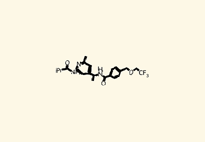 Cc1cc(C(C)NC(=O)c2ccc(COCC(F)(F)F)cc2)cc(NC(=O)C(C)C)n1